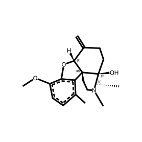 C=C1CC[C@]2(O)[C@H](C)N(C)CC[C@]23c2c(C)ccc(OC)c2O[C@H]13